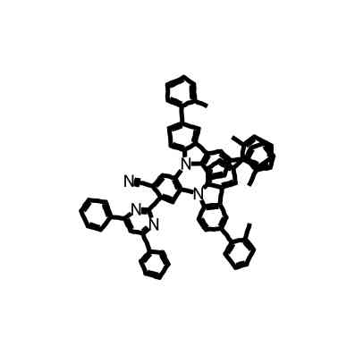 Cc1ccccc1-c1ccc2c(c1)c1cc(-c3ccccc3C)ccc1n2-c1cc(C#N)c(-c2nc(-c3ccccc3)cc(-c3ccccc3)n2)cc1-n1c2ccc(-c3ccccc3C)cc2c2cc(-c3ccccc3C)ccc21